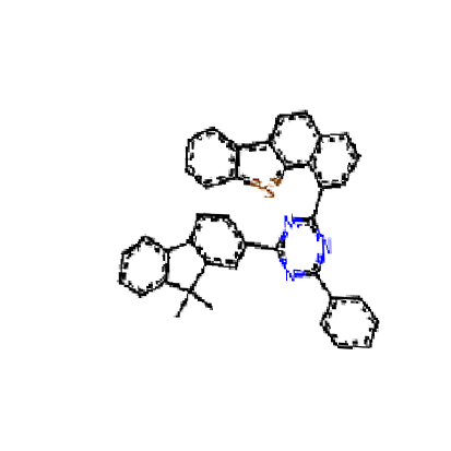 CC1(C)c2ccccc2-c2ccc(-c3nc(-c4ccccc4)nc(-c4cccc5ccc6c7ccccc7sc6c45)n3)cc21